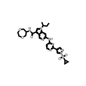 CCC(C)n1cc(C(=O)NC2COCCOC2)c2cnc(Nc3ccnc(-c4cnn(S(=O)(=O)C5CC5)c4)n3)cc21